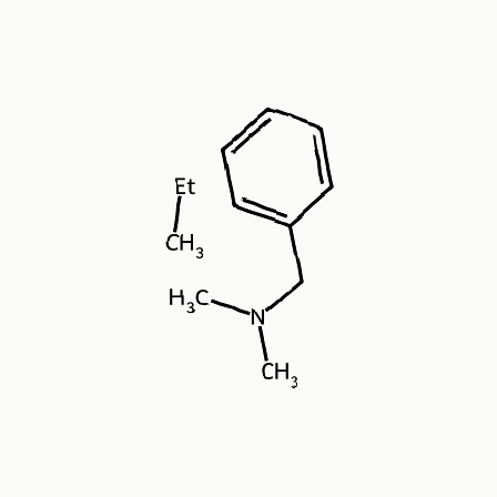 CCC.CN(C)Cc1ccccc1